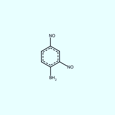 Bc1ccc(N=O)cc1N=O